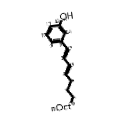 CCCCCCCCCCCC=CC=Cc1cccc(O)c1